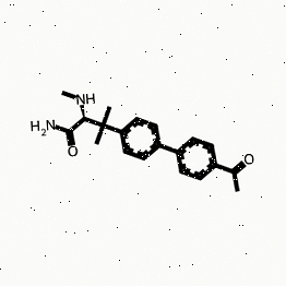 CN[C@H](C(N)=O)C(C)(C)c1ccc(-c2ccc(C(C)=O)cc2)cc1